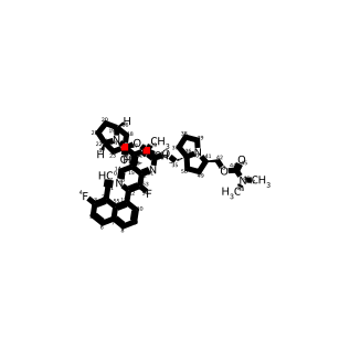 C#Cc1c(F)ccc2cccc(-c3ncc4c(N5C[C@H]6CC[C@@H](C5)N6C(=O)OC(C)(C)C)nc(OC[C@]56CCCN5[C@@H](COC(=O)N(C)C)CC6)nc4c3F)c12